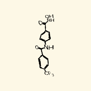 O=C(NO)c1ccc(NC(=O)c2ccc(C(F)(F)F)cc2)cc1